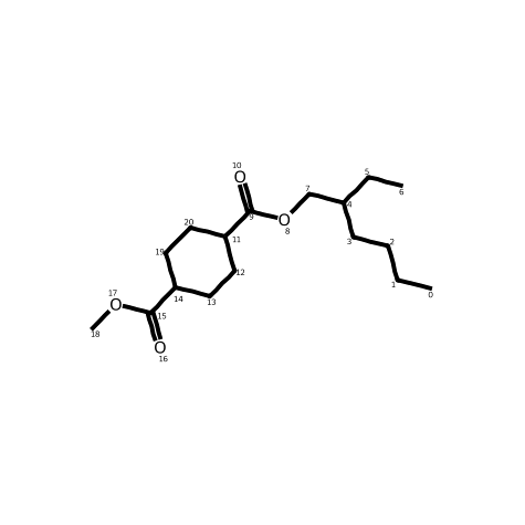 CCCCC(CC)COC(=O)C1CCC(C(=O)OC)CC1